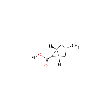 CCOC(=O)[C@H]1[C@@H]2CC(C)C[C@@H]21